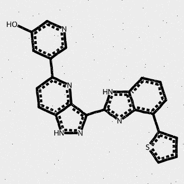 Oc1cncc(-c2ccc3[nH]nc(-c4nc5c(-c6cccs6)cccc5[nH]4)c3n2)c1